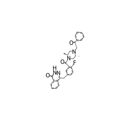 C[C@@H]1CN(C(=O)c2cc(Cc3n[nH]c(=O)c4ccccc34)ccc2F)[C@@H](C)CN1CC(=O)c1ccccc1